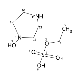 CCOS(=O)(=O)O.ON1CCNCC1